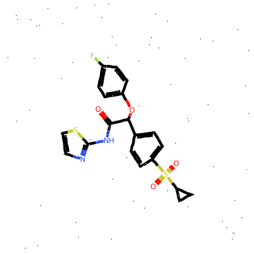 O=C(Nc1n[c]cs1)C(Oc1ccc(F)cc1)c1ccc(S(=O)(=O)C2CC2)cc1